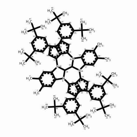 Cc1cc2c(cc1C)N(c1ccc(-c3cc(C(C)(C)C)cc(C(C)(C)C)c3)s1)C(C1N(c3ccc(-c4cc(C(C)(C)C)cc(C(C)(C)C)c4)s3)c3cc(C)c(C)cc3N1c1ccc(-c3cc(C(C)(C)C)cc(C(C)(C)C)c3)s1)N2c1ccc(-c2cc(C(C)(C)C)cc(C(C)(C)C)c2)s1